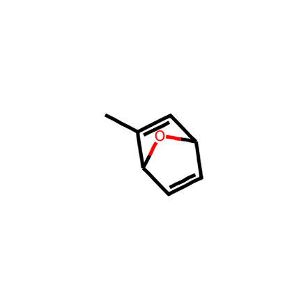 CC1=CC2C=CC1O2